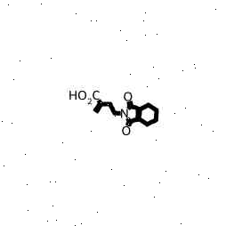 C=C(CCN1C(=O)C2=C(CCCC2)C1=O)C(=O)O